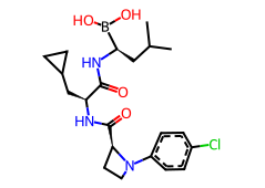 CC(C)C[C@@H](NC(=O)[C@H](CC1CC1)NC(=O)[C@@H]1CCN1c1ccc(Cl)cc1)B(O)O